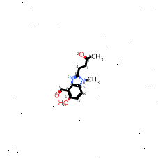 CC(=O)CCc1nc2c(C=O)c(O)ccc2n1C